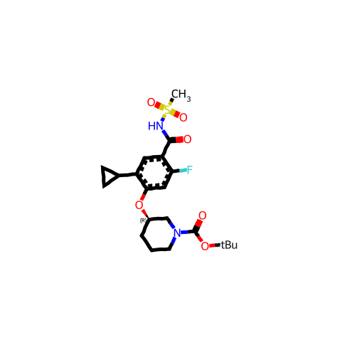 CC(C)(C)OC(=O)N1CCC[C@@H](Oc2cc(F)c(C(=O)NS(C)(=O)=O)cc2C2CC2)C1